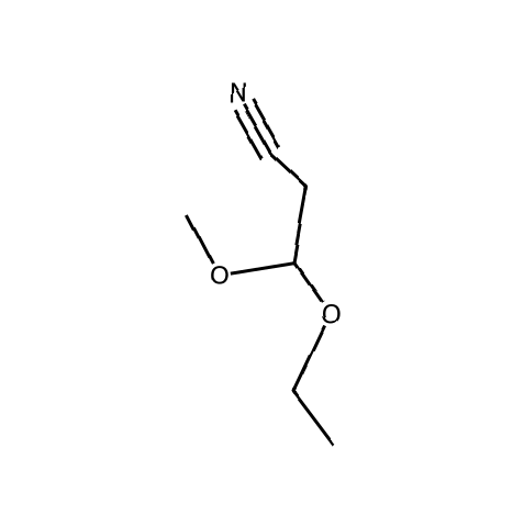 CCOC(CC#N)OC